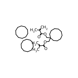 C1CCCCCCCCC1.C1CCCCCCCCC1.C=C(C)C(=O)OCC1(COC(=O)C(=C)C)CCCCCCCCC1